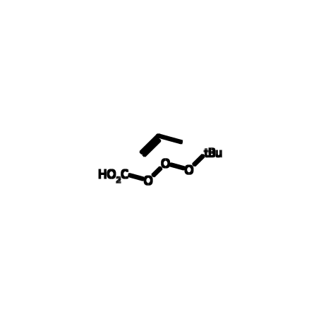 C=CC.CC(C)(C)OOOC(=O)O